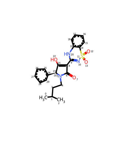 CC(C)CCN1C(=O)C(C2=NS(=O)(=O)c3ccccc3N2)=C(O)[C@@H]1c1ccccc1